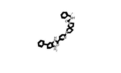 C[C@H](NC(=O)N1CCC2(CCN(c3ccc(C(=O)Nc4cc(-c5ccccc5)ccc4N)cn3)C2)C1)c1ccccc1